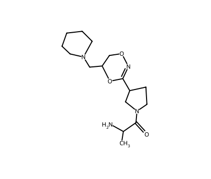 CC(N)C(=O)N1CCC(C2=NOCC(CN3CCCCC3)O2)C1